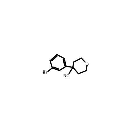 CC(C)c1cccc(C2(C#N)CCOCC2)c1